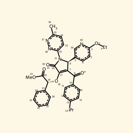 CCOc1ccc([C@H]2C(C(=O)c3ccc(C(C)C)cc3)=C(O[C@@H](C(=O)OC)c3ccccc3)C(=O)N2c2ccc(C)nn2)cn1